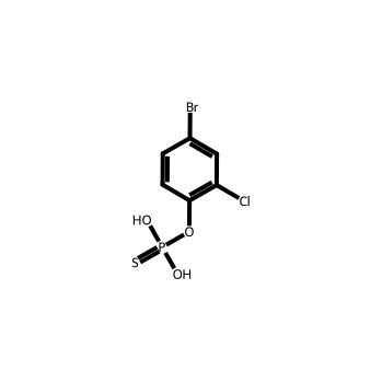 OP(O)(=S)Oc1ccc(Br)cc1Cl